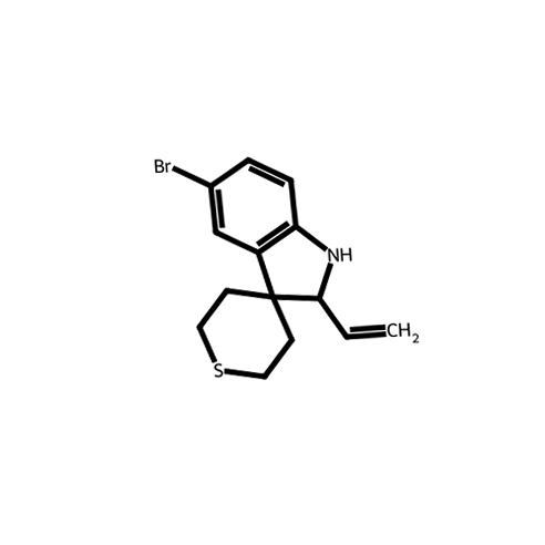 C=CC1Nc2ccc(Br)cc2C12CCSCC2